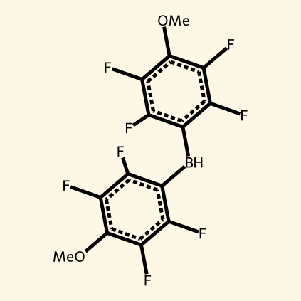 COc1c(F)c(F)c(Bc2c(F)c(F)c(OC)c(F)c2F)c(F)c1F